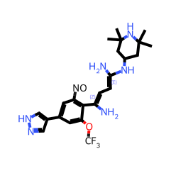 CC1(C)CC(N/C(N)=C/C=C(\N)c2c(N=O)cc(-c3cn[nH]c3)cc2OC(F)(F)F)CC(C)(C)N1